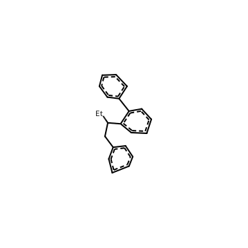 CCC(Cc1ccccc1)c1ccccc1-c1ccccc1